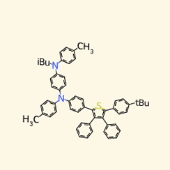 CCC(C)N(c1ccc(C)cc1)c1ccc(N(c2ccc(C)cc2)c2ccc(-c3sc(-c4ccc(C(C)(C)C)cc4)c(-c4ccccc4)c3-c3ccccc3)cc2)cc1